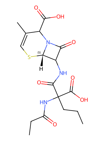 CCCC(NC(=O)CC)(C(=O)O)C(=O)NC1C(=O)N2C(C(=O)O)C(C)=CS[C@@H]12